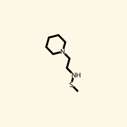 CSNCCN1CCCCC1